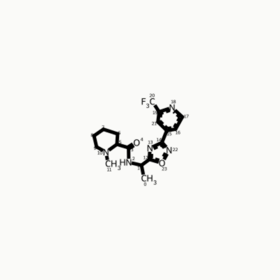 CC(NC(=O)C1CCCCN1C)c1nc(-c2ccnc(C(F)(F)F)c2)no1